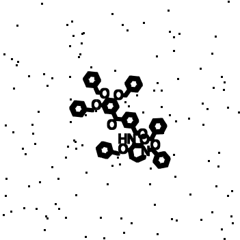 O=C(NC1=C(OC(=O)c2ccccc2)N(Cc2ccccc2)C=CC=C1OCc1ccccc1)c1cccc(C(=O)c2cc(OCc3ccccc3)c(OCc3ccccc3)c(OCc3ccccc3)c2)c1